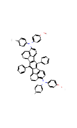 CC(C)Oc1ccc(N(c2ccc(C(C)C)cc2)c2ccc3c4c(-c5ccccc5)c5c6ccc(N(c7ccc(OC(C)C)cc7)c7ccc(C(C)C)cc7)c7cccc(c5c(-c5ccccc5)c4c4cccc2c43)c76)cc1